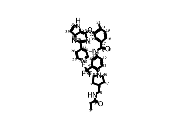 CCC(=O)NCC1CCN(c2ccc(NC(=O)c3ccc(C)c(Oc4nc(-c5ccncc5)nc5cc[nH]c45)c3)cc2C(F)(F)F)CC1